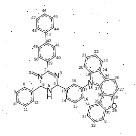 C=N/C(=N\C(NCc1ccccc1)c1cccc(-n2c3ccccc3c3ccc4oc5ccccc5c4c32)c1)c1ccc(-c2ccccc2)cc1